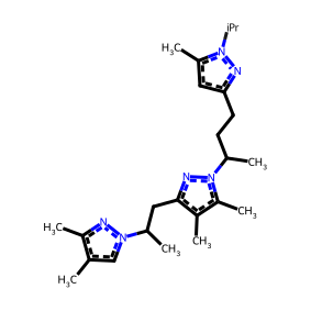 Cc1cn(C(C)Cc2nn(C(C)CCc3cc(C)n(C(C)C)n3)c(C)c2C)nc1C